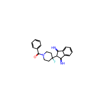 N=C1c2ccccc2C(=N)C1C1(F)CCN(C(=O)c2ccccc2)CC1